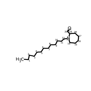 CCCCCCCCCCCCCN1CCCCCC1C=O